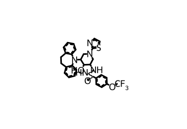 N=S(=O)(NC1CN(c2nccs2)CC(N2c3ccccc3CCc3ccccc32)C1O)c1ccc(OC(F)(F)F)cc1